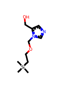 C[Si](C)(C)CCOCn1cncc1CO